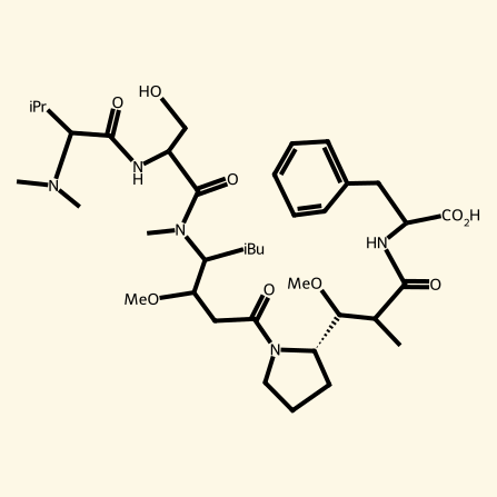 CCC(C)C(C(CC(=O)N1CCC[C@H]1C(OC)C(C)C(=O)NC(Cc1ccccc1)C(=O)O)OC)N(C)C(=O)C(CO)NC(=O)C(C(C)C)N(C)C